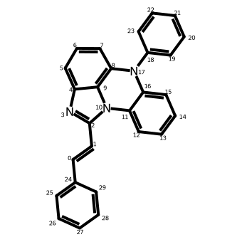 C(=C\c1nc2cccc3c2n1-c1ccccc1N3c1ccccc1)/c1ccccc1